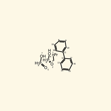 CCCC.O=[PH2]O.O=[PH2]O.c1ccc(-c2ccccc2)cc1